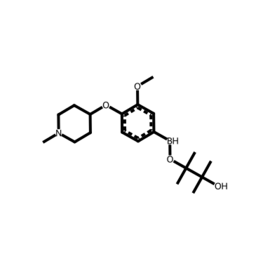 COc1cc(BOC(C)(C)C(C)(C)O)ccc1OC1CCN(C)CC1